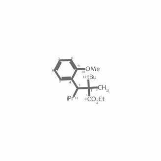 CCOC(=O)C(C)(C(c1ccccc1OC)C(C)C)C(C)(C)C